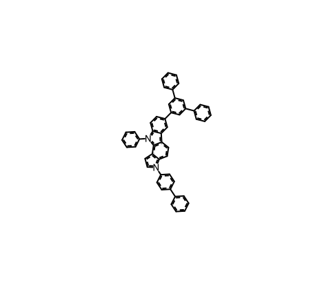 c1ccc(-c2ccc(-n3ccc4c3ccc3c5cc(-c6cc(-c7ccccc7)cc(-c7ccccc7)c6)ccc5n(-c5ccccc5)c34)cc2)cc1